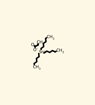 C=CC(=O)[O-].CCCCC[CH2][Sn+]([CH2]CCCCC)[CH2]CCCCC